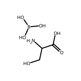 NC(CO)C(=O)O.OB(O)O